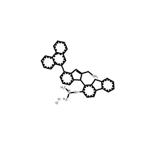 CCC1=Cc2c(-c3cc4ccccc4c4ccccc34)cccc2C1c1[c]([Zr+2][SiH](C)C)ccc2c1Cc1ccccc1-2.[Cl-].[Cl-]